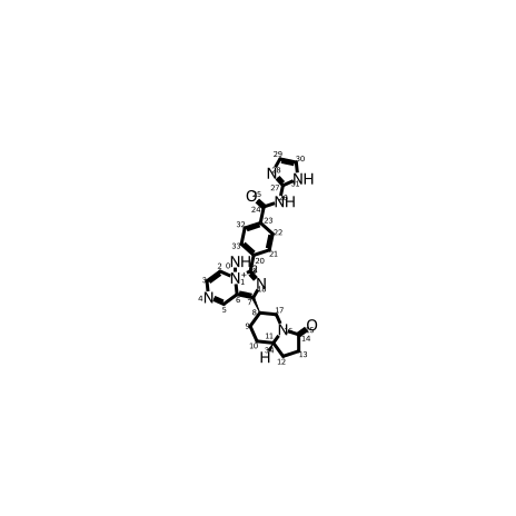 N[N+]12C=CN=CC1=C([C@@H]1CC[C@H]3CCC(=O)N3C1)N=C2c1ccc(C(=O)Nc2ncc[nH]2)cc1